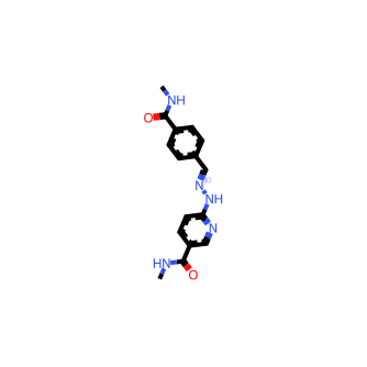 CNC(=O)c1ccc(/C=N/Nc2ccc(C(=O)NC)cn2)cc1